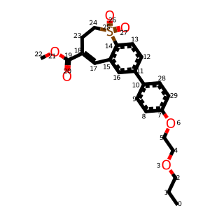 CCCOCCOc1ccc(-c2ccc3c(c2)C=C(C(=O)OC)CCS3(=O)=O)cc1